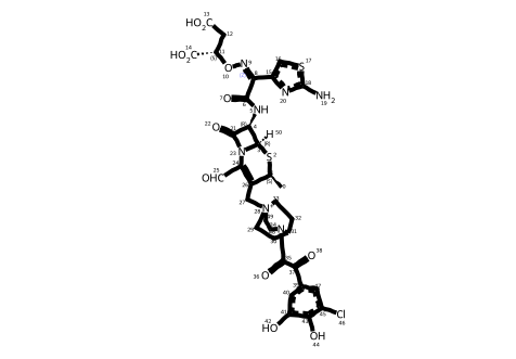 C[C@@H]1S[C@@H]2[C@H](NC(=O)/C(=N\O[C@@H](CC(=O)O)C(=O)O)c3csc(N)n3)C(=O)N2C(C=O)=C1C[N+]12CCC(CC1)N(C(=O)C(=O)c1cc(O)c(O)c(Cl)c1)CC2